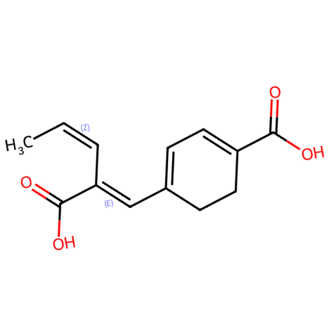 C/C=C\C(=C/C1=CC=C(C(=O)O)CC1)C(=O)O